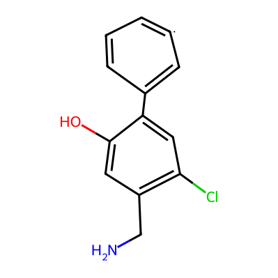 NCc1cc(O)c(-c2c[c]ccc2)cc1Cl